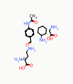 CC(=O)Nc1ccc(C=O)cc1.NC1CCCCC1.NCC(=O)O.NCC[C@H](N)C(=O)O